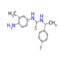 Cc1cc(NC(=S)NC(C)c2ccc(F)cc2)ccc1N